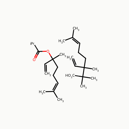 C=CC(C)(CCC=C(C)C)C(C)(C)C(=O)O.C=CC(C)(CCC=C(C)C)OC(=O)C(C)C